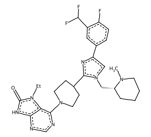 CCn1c(=O)[nH]c2ncnc(N3CCC(c4nc(-c5ccc(F)c(C(F)F)c5)cn4C[C@H]4CCCCN4C)CC3)c21